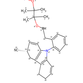 CC(C)(OI)C(C)(C)OBCc1ccccc1-n1c2c(c3c1C=C[C@@H](C#N)C3)CCC=C2